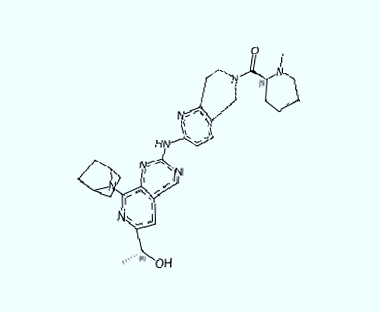 C[C@@H](O)c1cc2cnc(Nc3ccc4c(n3)CCN(C(=O)[C@@H]3CCCCN3C)C4)nc2c(N2C3CCC2CC3)n1